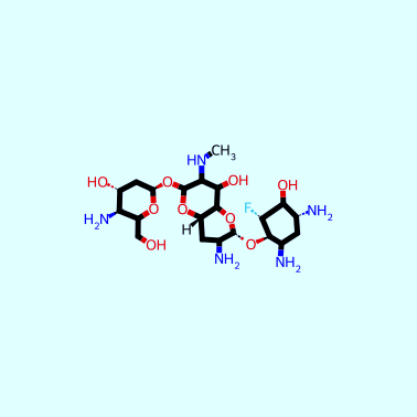 CNC1C(O[C@@H]2C[C@@H](O)[C@H](N)C(CO)O2)O[C@H]2CC(N)[C@@H](O[C@@H]3C(N)C[C@@H](N)C(O)[C@H]3F)OC2C1O